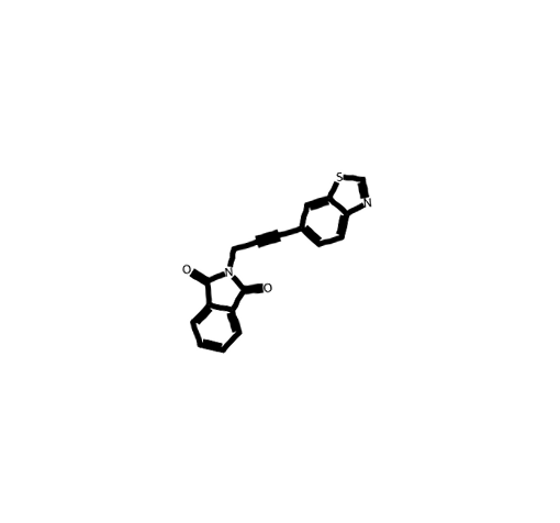 O=C1c2ccccc2C(=O)N1CC#Cc1ccc2ncsc2c1